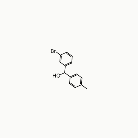 Cc1ccc(C(O)c2cccc(Br)c2)cc1